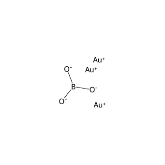 [Au+].[Au+].[Au+].[O-]B([O-])[O-]